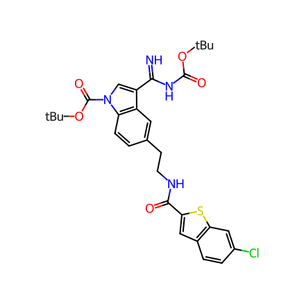 CC(C)(C)OC(=O)NC(=N)c1cn(C(=O)OC(C)(C)C)c2ccc(CCNC(=O)c3cc4ccc(Cl)cc4s3)cc12